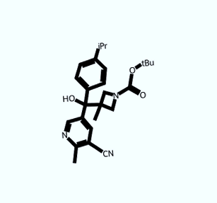 Cc1ncc(C(O)(c2ccc(C(C)C)cc2)C2(C)CN(C(=O)OC(C)(C)C)C2)cc1C#N